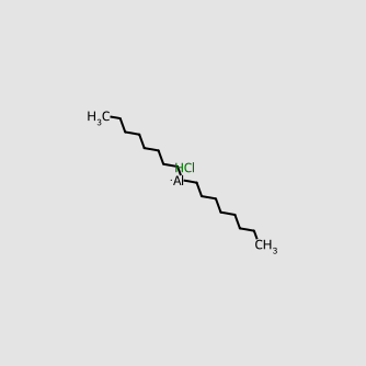 CCCCCCC[CH2][Al][CH2]CCCCCCC.Cl